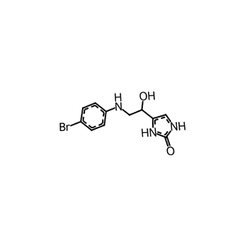 O=c1[nH]cc(C(O)CNc2ccc(Br)cc2)[nH]1